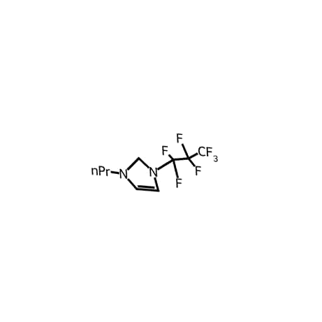 CCCN1C=CN(C(F)(F)C(F)(F)C(F)(F)F)C1